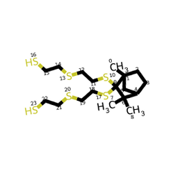 CC12CCC(C1)C(C)(C)C2(SCCSCCS)SCCSCCS